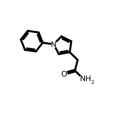 NC(=O)Cc1ccn(-c2ccccc2)c1